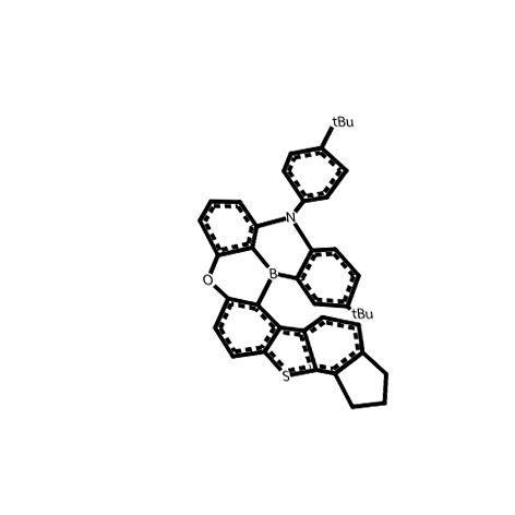 CC(C)(C)c1ccc(N2c3ccc(C(C)(C)C)cc3B3c4c(cccc42)Oc2ccc4sc5c6c(ccc5c4c23)CCC6)cc1